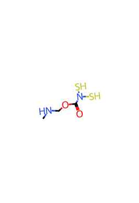 CNCOC(=O)N(S)S